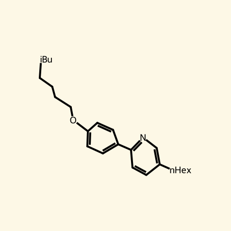 CCCCCCc1ccc(-c2ccc(OCCCCC(C)CC)cc2)nc1